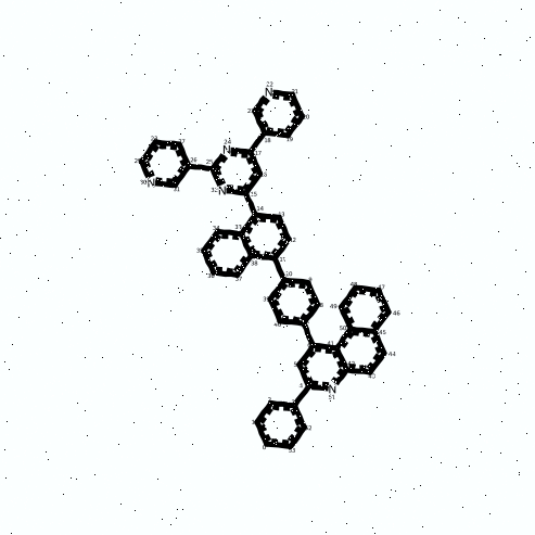 c1ccc(-c2cc(-c3ccc(-c4ccc(-c5cc(-c6cccnc6)nc(-c6cccnc6)n5)c5ccccc45)cc3)c3c(ccc4ccccc43)n2)cc1